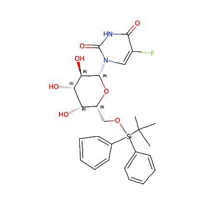 CC(C)(C)[Si](OC[C@H]1O[C@@H](n2cc(F)c(=O)[nH]c2=O)[C@H](O)[C@@H](O)[C@H]1O)(c1ccccc1)c1ccccc1